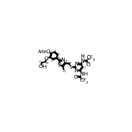 COc1ccc(-c2nc(CSc3nc(NC(=O)C(F)(F)F)cc(NC(=O)C(F)(F)F)n3)c(C)s2)cc1OCCO